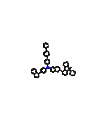 CC1(c2ccccc2)c2ccccc2-c2c(-c3ccc4cc(N(c5ccc(-c6ccc(-c7ccccc7)cc6)cc5)c5ccc(-c6cccc7ccccc67)cc5)ccc4c3)cccc21